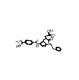 N=C(N)c1ccc(C(=O)Nc2ccc3c(c2)CC(CC(=O)O)C(=O)N(CCc2ccccc2)C3)cc1